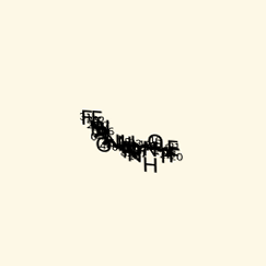 Cc1c(C(=O)NCc2cn3ncc(CNC(=O)CCC(F)(F)F)cc3n2)cnn1CC(F)F